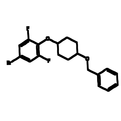 Fc1cc(Br)cc(F)c1OC1CCC(OCc2ccccc2)CC1